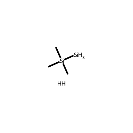 C[Si](C)(C)[SiH3].[HH]